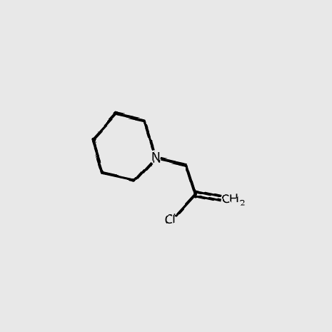 C=C(Cl)CN1CCCCC1